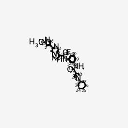 Cn1cc(-c2cn3ncc(C(=O)Nc4cc(NC(=O)C5CN(C6CCCCC6)C5)ccc4F)c3cn2)cn1